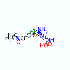 CCN(CC)C(=O)c1ccc(-c2ccc([C@@H](Oc3cc(N4CCC5(CC4)CN[C@H](C(=O)O)C5)nc(N)n3)C(F)(F)F)cc2)cc1